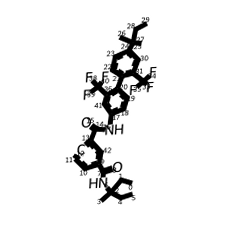 CCC(C)(CC)NC(=O)c1cccc(C(=O)Nc2ccc(-c3ccc(C(C)(C)CC)cc3C(F)(F)F)c(C(F)(F)F)c2)c1